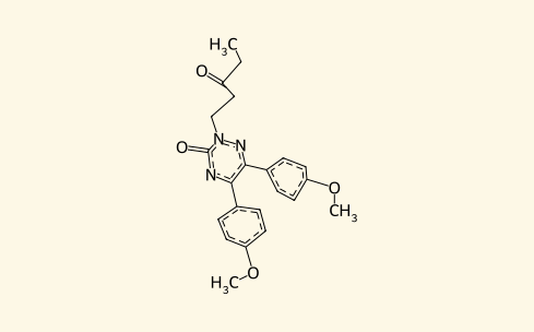 CCC(=O)CCn1nc(-c2ccc(OC)cc2)c(-c2ccc(OC)cc2)nc1=O